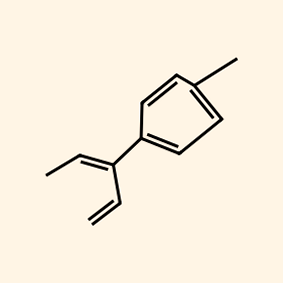 C=C/C(=C\C)c1ccc(C)cc1